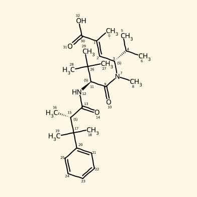 CC(=C[C@H](C(C)C)N(C)C(=O)[C@@H](NC(=O)[C@@H](C)C(C)(C)c1ccccc1)C(C)(C)C)C(=O)O